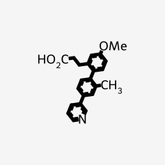 COc1ccc(-c2ccc(-c3cccnc3)cc2C)c(CCC(=O)O)c1